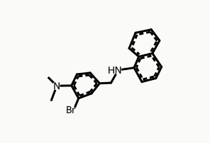 CN(C)c1ccc(CNc2cccc3ccccc23)cc1Br